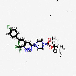 CC(C)(C)OC(=O)N1CCN(c2cc(/C=C/c3ccc(F)cc3)c(C(F)(F)F)nn2)CC1